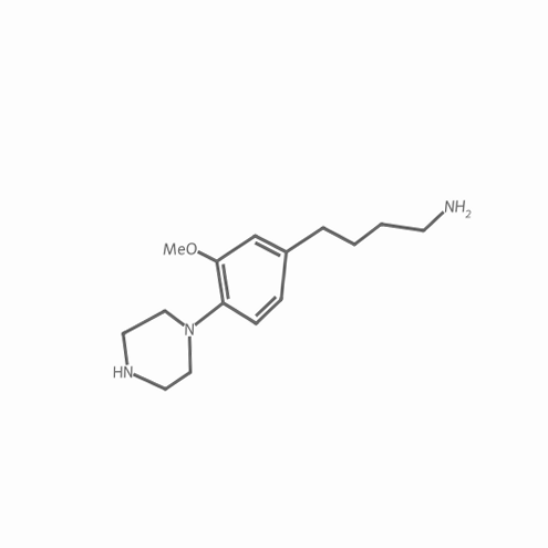 COc1cc(CCCCN)ccc1N1CCNCC1